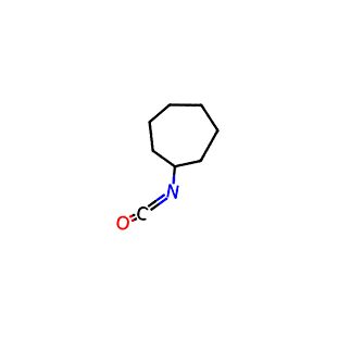 O=C=NC1CCCCCC1